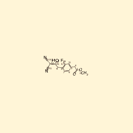 COC(=O)Cc1ccc(CC(O)=C(C#N)C#N)c(F)c1